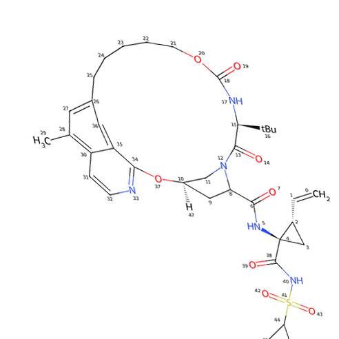 C=C[C@@H]1C[C@]1(NC(=O)C1C[C@@H]2CN1C(=O)[C@H](C(C)(C)C)NC(=O)OCCCCCc1cc(C)c3ccnc(c3c1)O2)C(=O)NS(=O)(=O)C1CC1